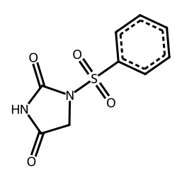 O=C1CN(S(=O)(=O)c2ccccc2)C(=O)N1